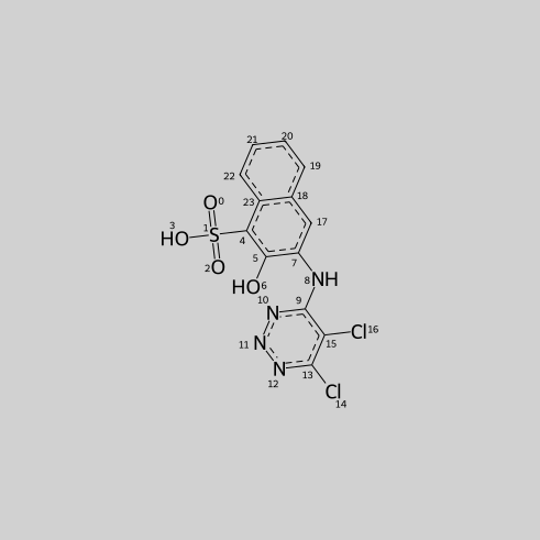 O=S(=O)(O)c1c(O)c(Nc2nnnc(Cl)c2Cl)cc2ccccc12